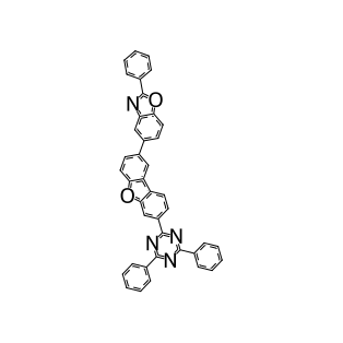 c1ccc(-c2nc(-c3ccccc3)nc(-c3ccc4c(c3)oc3ccc(-c5ccc6oc(-c7ccccc7)nc6c5)cc34)n2)cc1